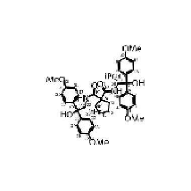 COc1ccc(C(O)(c2ccc(OC)cc2)[C@H](NC(=O)C2(C(=O)N[C@H](C(C)C)C(O)(c3ccc(OC)cc3)c3ccc(OC)cc3)CCCC2)C(C)C)cc1